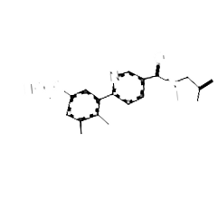 C=C(C)CNC(=O)c1ccc(-c2cc(C(=O)O)cc(F)c2C)nc1